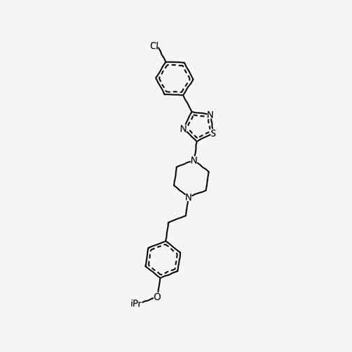 CC(C)Oc1ccc(CCN2CCN(c3nc(-c4ccc(Cl)cc4)ns3)CC2)cc1